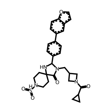 O=C(C1CC1)N1CC(CN2C(=O)C3(CCN([SH](=O)=O)CC3)NC2c2ccc(-c3ccc4occc4c3)cc2)C1